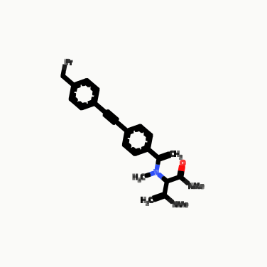 C=C(NC)C(C(=O)NC)N(C)C(=C)c1ccc(C#Cc2ccc(CC(C)C)cc2)cc1